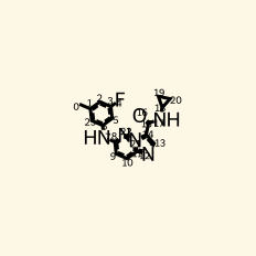 Cc1cc(F)cc(Nc2ccc3ncc(C(=O)NC4CC4)n3n2)c1